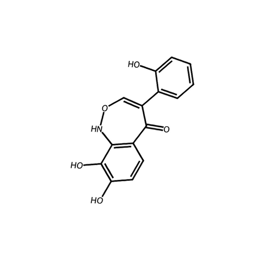 O=C1C(c2ccccc2O)=CONc2c1ccc(O)c2O